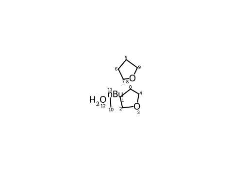 C1CCOC1.C1CCOC1.CCCCC.O